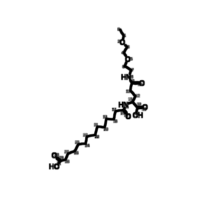 CCOCCOCCNC(=O)CCC(NC(=O)CCCCCCCCCCCCC(=O)O)C(=O)O